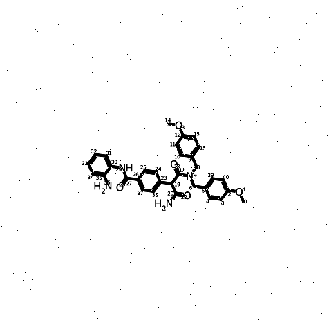 COc1ccc(CN(Cc2ccc(OC)cc2)C(=O)C(C(N)=O)c2ccc(C(=O)Nc3ccccc3N)cc2)cc1